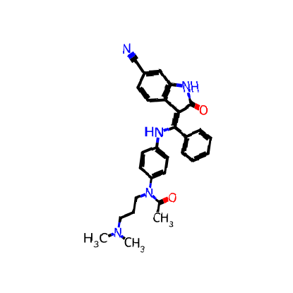 CC(=O)N(CCCN(C)C)c1ccc(NC(=C2C(=O)Nc3cc(C#N)ccc32)c2ccccc2)cc1